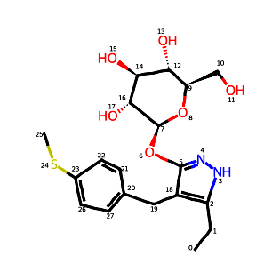 CCc1[nH]nc(O[C@@H]2O[C@H](CO)[C@@H](O)[C@H](O)[C@H]2O)c1Cc1ccc(SC)cc1